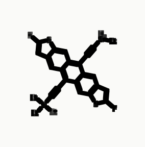 CC[SiH2]C#Cc1c2cc3cc(F)sc3cc2c(C#C[Si](CC)(CC)CC)c2cc3cc(F)sc3cc12